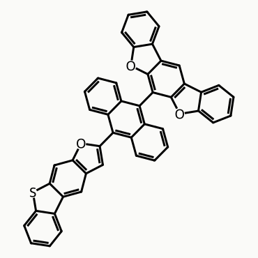 c1ccc2c(c1)oc1c(-c3c4ccccc4c(-c4cc5cc6c(cc5o4)sc4ccccc46)c4ccccc34)c3oc4ccccc4c3cc12